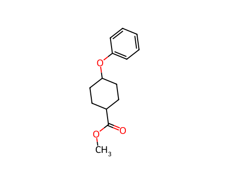 COC(=O)C1CCC(Oc2ccccc2)CC1